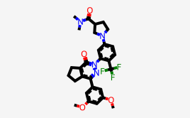 COc1cc(OC)cc(-c2nn(-c3cc(N4CCC(C(=O)N(C)C)C4)ccc3C(F)(F)F)c(=O)c3c2CCC3)c1